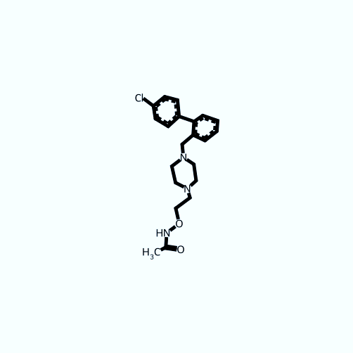 CC(=O)NOCCN1CCN(Cc2ccccc2-c2ccc(Cl)cc2)CC1